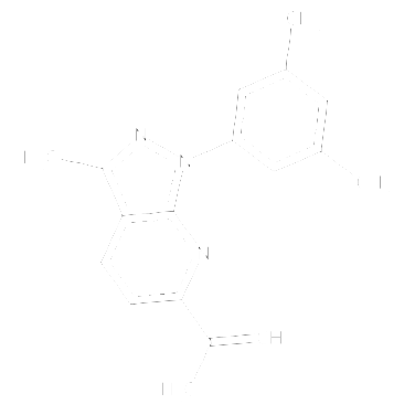 C=C(C)c1ccc2c(C)nn(-c3cc(C)cc(C)c3)c2n1